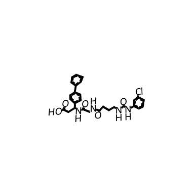 O=C(O)CC(NC(=O)CNC(=O)CCCNC(=O)Nc1cccc(Cl)c1)c1ccc(-c2ccccc2)cc1